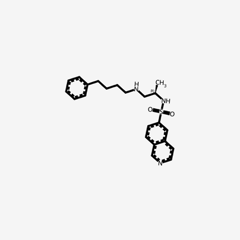 C[C@H](CNCCCCc1ccccc1)NS(=O)(=O)c1ccc2cnccc2c1